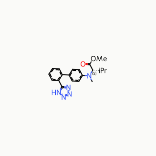 COC(=O)[C@H](C(C)C)N(C)c1ccc(-c2ccccc2-c2nnn[nH]2)cc1